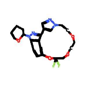 FC1(F)COCCOCCn2cc(cn2)-c2nn(C3CCCCO3)c3ccc(cc23)O1